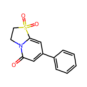 O=c1cc(-c2ccccc2)cc2n1CCS2(=O)=O